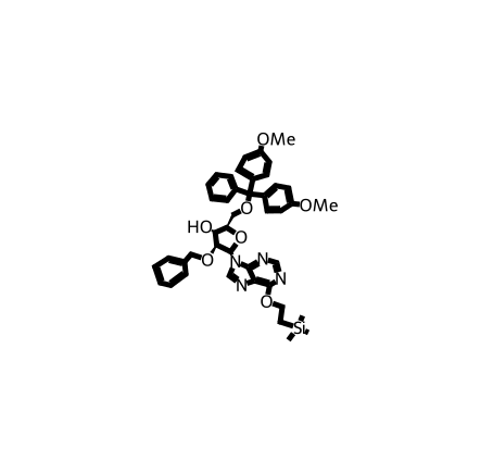 COc1ccc(C(OC[C@H]2O[C@@H](n3cnc4c(OCC[Si](C)(C)C)ncnc43)[C@@H](OCc3ccccc3)[C@@H]2O)(c2ccccc2)c2ccc(OC)cc2)cc1